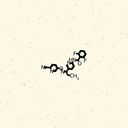 CCC(=NOc1ccc(C#N)nc1)c1ccc(NC(=O)c2c(F)cccc2F)nc1